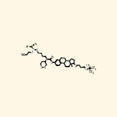 CC(C)N(C(C)C)P(OCCC#N)OCCCCN(C(=O)Oc1ccc2c(c1)CCC1C2CCC2(C)C(OCCCOC(C(F)(F)F)(C(F)(F)F)C(F)(F)F)CCC12)C1CCSSC1